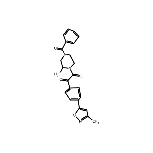 Cc1cc(-c2ccc(C(=O)C(=O)N3CCN(C(=O)c4ccccc4)CC3C)cc2)on1